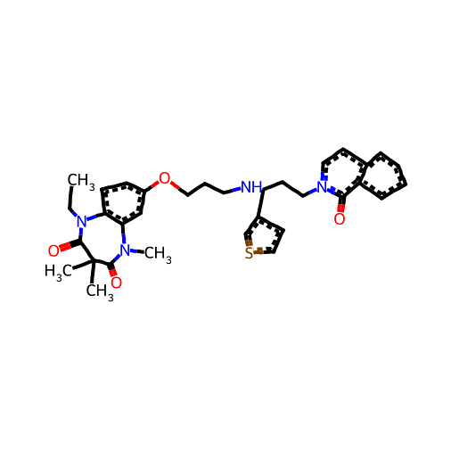 CCN1C(=O)C(C)(C)C(=O)N(C)c2cc(OCCCNC(CCn3ccc4ccccc4c3=O)c3ccsc3)ccc21